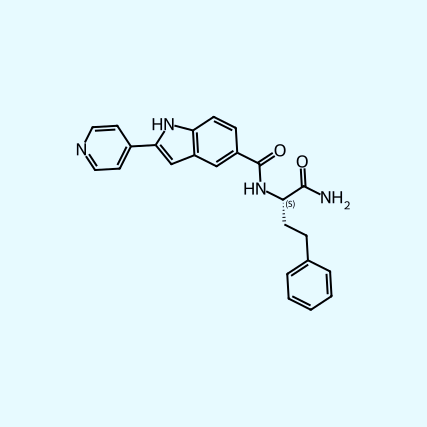 NC(=O)[C@H](CCc1ccccc1)NC(=O)c1ccc2[nH]c(-c3ccncc3)cc2c1